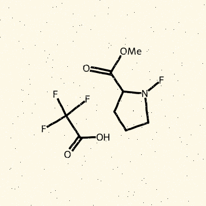 COC(=O)C1CCCN1F.O=C(O)C(F)(F)F